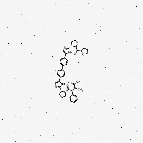 CN(C(=O)O)[C@@H](C(=O)N1CCC[C@H]1c1ncc(-c2ccc(-c3ccc(-c4cnc([C@@H]5CCCN5C(=O)[C@H]5CCCO5)[nH]4)cc3)cc2)[nH]1)c1ccccc1